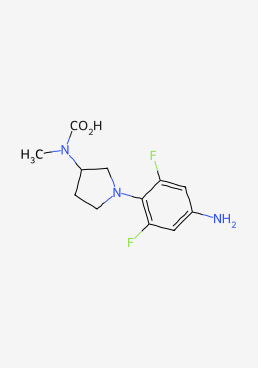 CN(C(=O)O)C1CCN(c2c(F)cc(N)cc2F)C1